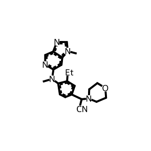 CCc1cc(C(C#N)N2CCOCC2)ccc1N(C)c1cc2c(cn1)ncn2C